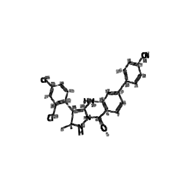 CC1NN2C(=O)c3ccc(-c4ccc(C#N)cc4)cc3NC2=C1c1ccc(Cl)cc1Cl